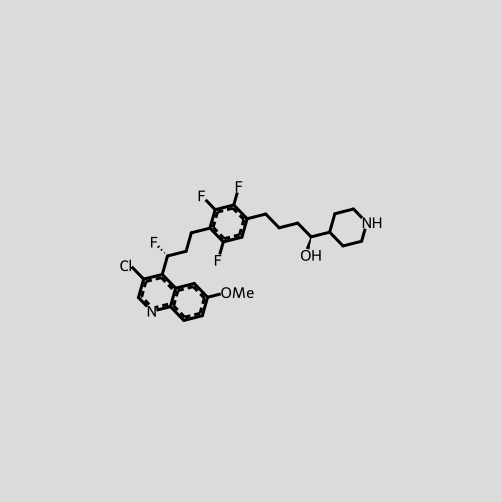 COc1ccc2ncc(Cl)c([C@H](F)CCc3c(F)cc(CCC[C@H](O)C4CCNCC4)c(F)c3F)c2c1